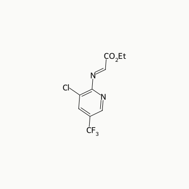 CCOC(=O)C=Nc1ncc(C(F)(F)F)cc1Cl